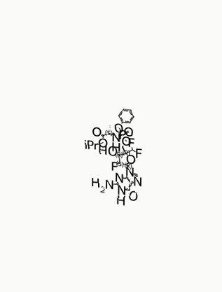 CC(C)OC(=O)[C@H](C)NP(=O)(OC[C@@]1(C(F)F)O[C@@H](n2cnc3c(=O)[nH]c(N)nc32)[C@@H](F)[C@@H]1O)Oc1ccccc1